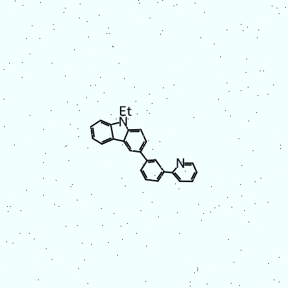 CCn1c2ccccc2c2cc(-c3cccc(-c4ccccn4)c3)ccc21